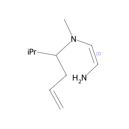 C=CCC(C(C)C)N(C)/C=C\N